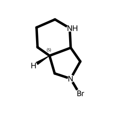 BrN1CC2NCCC[C@H]2C1